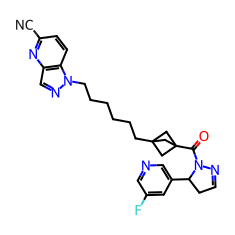 N#Cc1ccc2c(cnn2CCCCCCC23CC(C(=O)N4N=CCC4c4cncc(F)c4)(C2)C3)n1